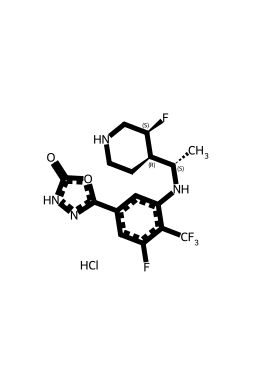 C[C@H](Nc1cc(-c2n[nH]c(=O)o2)cc(F)c1C(F)(F)F)[C@H]1CCNC[C@H]1F.Cl